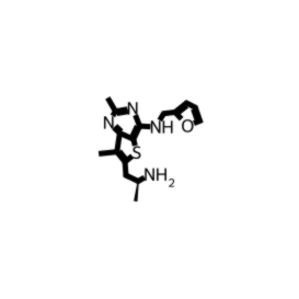 Cc1nc(NCc2ccco2)c2sc(C[C@H](C)N)c(C)c2n1